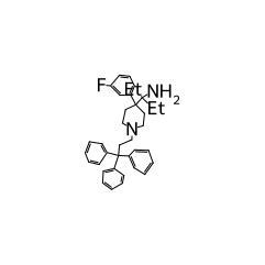 CCC(N)(CC)C1(c2cccc(F)c2)CCN(CCC(c2ccccc2)(c2ccccc2)c2ccccc2)CC1